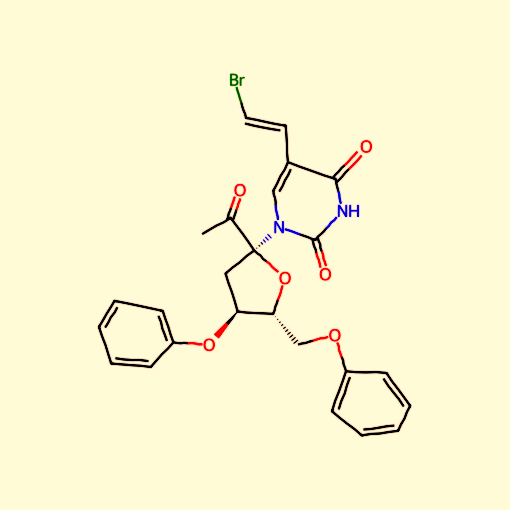 CC(=O)[C@]1(n2cc(C=CBr)c(=O)[nH]c2=O)C[C@H](Oc2ccccc2)[C@@H](COc2ccccc2)O1